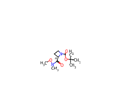 CON(C)C(=O)[C@H]1CCN1C(=O)OC(C)(C)C